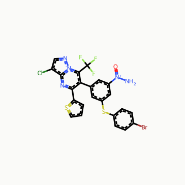 N[N+](=O)c1cc(Sc2ccc(Br)cc2)cc(-c2c(-c3cccs3)nc3c(Cl)cnn3c2C(F)(F)F)c1